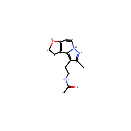 CC(=O)NCCc1c(C)nn2ccc3c(c12)CCO3